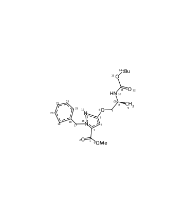 COC(=O)c1cc(OC[C@H](C)NC(=O)OC(C)(C)C)nn1Cc1ccccc1